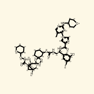 Cc1cnc(NC2CCOCC2)nc1-n1cnc(C(=O)N[C@H](CNC(=O)OC2CCCC3(C2)OO[C@]2(C[C@H]4C[C@@H]2[C@H](C(=O)NOC2CCCCO2)C4)O3)c2cc(F)cc(Cl)c2)c1